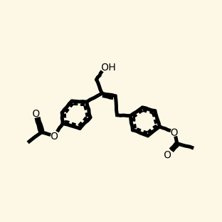 CC(=O)Oc1ccc(C/C=C(/CO)c2ccc(OC(C)=O)cc2)cc1